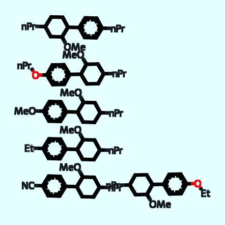 CCCC1CCC(c2ccc(C#N)cc2)C(OC)C1.CCCC1CCC(c2ccc(CC)cc2)C(OC)C1.CCCC1CCC(c2ccc(OC)cc2)C(OC)C1.CCCC1CCC(c2ccc(OCC)cc2)C(OC)C1.CCCOc1ccc(C2CCC(CCC)CC2OC)cc1.CCCc1ccc(C2CCC(CCC)CC2OC)cc1